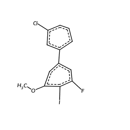 COc1cc(-c2cccc(Cl)c2)cc(F)c1I